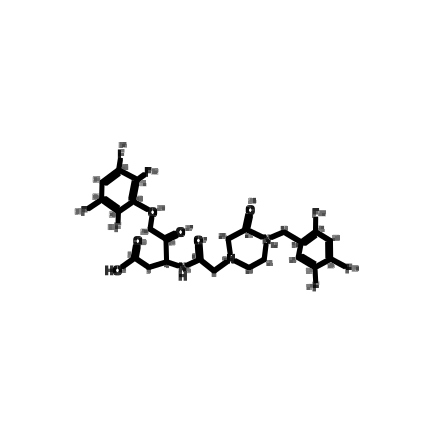 O=C(O)CC(NC(=O)CN1CCN(Cc2cc(F)c(F)cc2F)C(=O)C1)C(=O)COc1c(F)c(F)cc(F)c1F